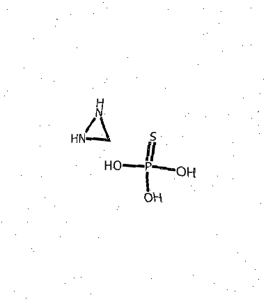 C1NN1.OP(O)(O)=S